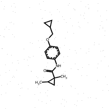 CC1CC1(C)C(=O)Nc1ccc(OCC2CC2)cc1